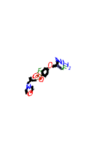 CC(CN1CCOCC1)CS(=O)(=O)c1ccc(OC/C(=C/F)CN)cc1F